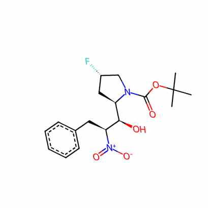 CC(C)(C)OC(=O)N1C[C@@H](F)C[C@@H]1[C@@H](O)[C@H](Cc1ccccc1)[N+](=O)[O-]